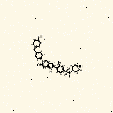 NC1CCN(Cc2ccc(-n3cc4cc(-c5ccc(S(=O)(=O)NC6CCNCC6)cc5F)[nH]c4nc3=O)cc2)CC1